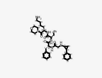 CC(C)C[C@@H](NC(=O)[C@@H](Cc1ccccc1)NC(=O)CNC1CC1c1ccccc1)C(=O)N[C@H](CCCCN)C(=O)N1CCOCC1